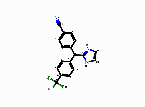 N#Cc1ccc(C(c2ccc(C(F)(F)F)cc2)c2ncc[nH]2)cc1